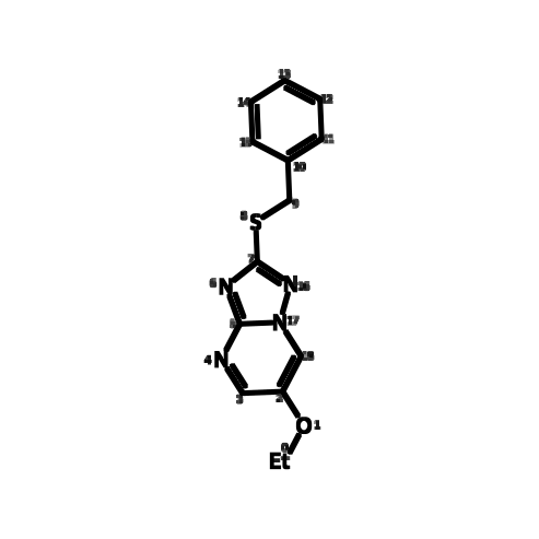 CCOc1cnc2nc(SCc3ccccc3)nn2c1